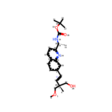 COC[C@](C)(/C=C/c1ccc2ccc([C@@H](C)NC(=O)OC(C)(C)C)nc2c1)CO